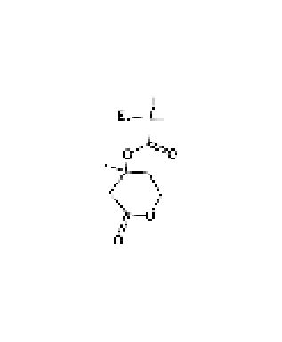 CCC(C)(I)C(=O)OC1(C)CCOC(=O)C1